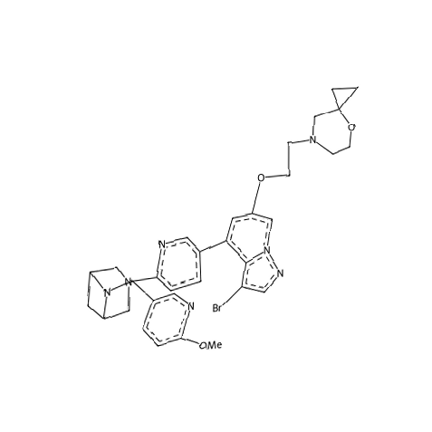 COc1ccc(CN2C3CC2CN(c2ccc(-c4cc(OCCN5CCOC6(CC6)C5)cn5ncc(Br)c45)cn2)C3)cn1